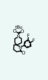 CC(C)(C)OC(=O)N1CCC2(CCCC(=O)N2c2ccc(F)c(F)c2)CC1